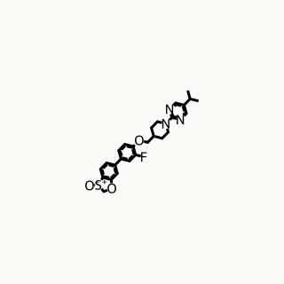 CC(C)c1cnc(N2CCC(COc3ccc(-c4ccc5c(c4)OC[S+]5[O-])cc3F)CC2)nc1